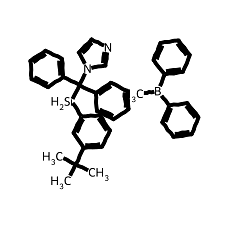 CB(c1ccccc1)c1ccccc1.CC(C)(C)c1cccc([SiH2]C(c2ccccc2)(c2ccccc2)n2ccnc2)c1